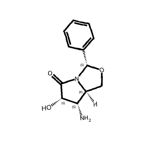 N[C@@H]1[C@H](O)C(=O)N2[C@H](c3ccccc3)OC[C@@H]12